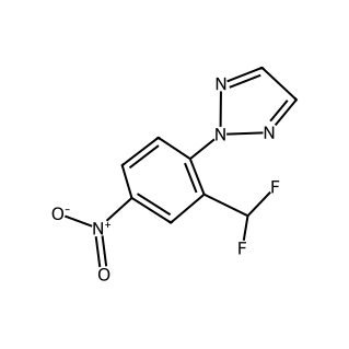 O=[N+]([O-])c1ccc(-n2nccn2)c(C(F)F)c1